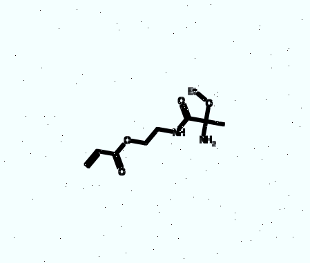 C=CC(=O)OCCNC(=O)C(C)(N)OCC